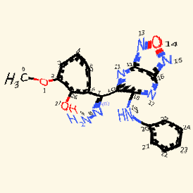 COc1cccc(/C(=N\N)c2nc3nonc3nc2Nc2ccccc2)c1O